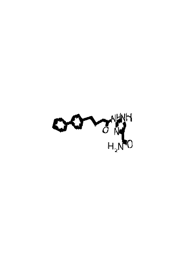 NC(=O)c1c[nH]c(NC(=O)C[CH]Cc2ccc(-c3ccccc3)cc2)n1